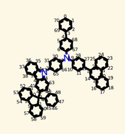 c1ccc(-c2ccc(N(c3ccc(-c4cc5ccccc5c5ccccc45)cc3)c3ccc(-n4c5ccccc5c5cc(C6(c7ccccc7)c7ccccc7-c7ccccc76)ccc54)cc3)cc2)cc1